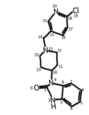 O=c1[nH]c2ccccc2n1C1CCN(Cc2ccc(Cl)nc2)CC1